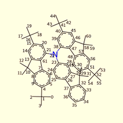 CC(C)(C)c1ccc2c(c1)C(C)(C)c1cc(C(C)(C)C)cc(N(c3ccc4c(c3)C(C)(C)c3ccccc3-4)c3cc(C(C)(C)C)cc4c3-c3ccc(C(C)(C)C)cc3C4(C)C)c1-2